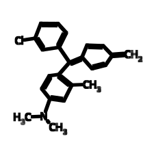 C=c1ccc(=C(c2cccc(Cl)c2)c2ccc(N(C)C)cc2C)cc1